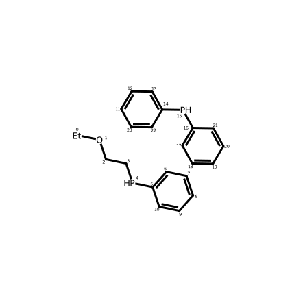 CCOCCPc1ccccc1.c1ccc(Pc2ccccc2)cc1